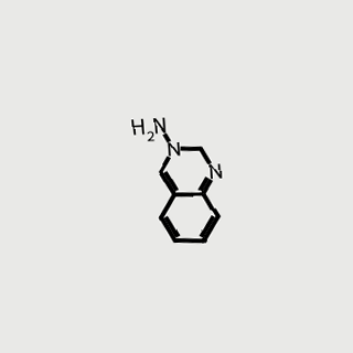 NN1C=c2ccccc2=NC1